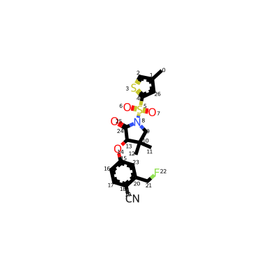 Cc1csc(S(=O)(=O)N2CC(C)(C)C(Oc3ccc(C#N)c(CF)c3)C2=O)c1